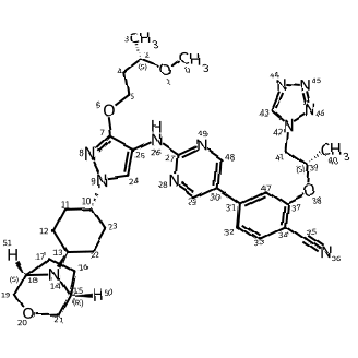 CO[C@@H](C)CCOc1nn([C@H]2CC[C@H](N3[C@@H]4CC[C@H]3COC4)CC2)cc1Nc1ncc(-c2ccc(C#N)c(O[C@@H](C)Cn3cnnn3)c2)cn1